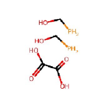 O=C(O)C(=O)O.OCP.OCP